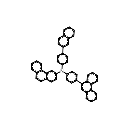 c1ccc2cc(-c3ccc(N(c4ccc(-c5cc6ccccc6c6ccccc56)cc4)c4ccc5ccc6ccccc6c5c4)cc3)ccc2c1